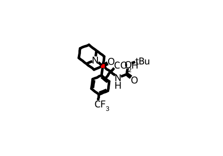 CC(C)(C)OC(=O)NC(C)(C(=O)O)C1CC2CCCC(C1)N2C(=O)c1ccc(C(F)(F)F)cc1